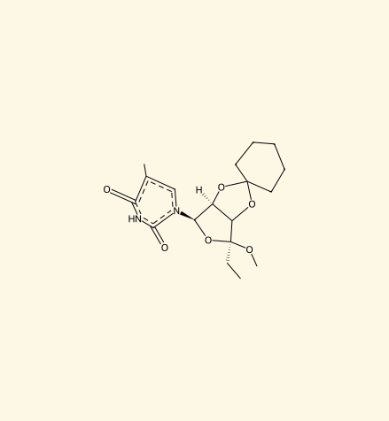 CC[C@]1(OC)O[C@@H](n2cc(C)c(=O)[nH]c2=O)[C@H]2OC3(CCCCC3)OC21